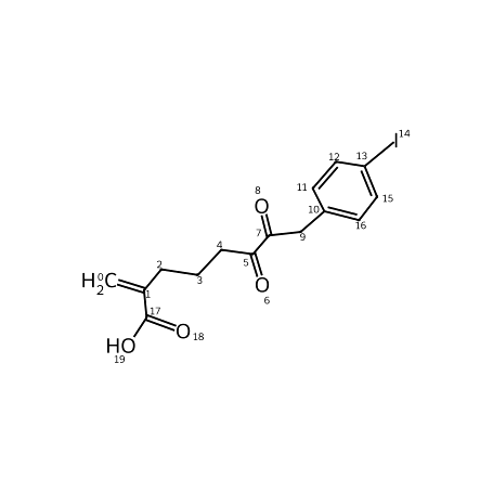 C=C(CCCC(=O)C(=O)Cc1ccc(I)cc1)C(=O)O